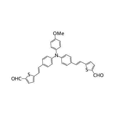 COc1ccc(N(c2ccc(/C=C/c3ccc(C=O)s3)cc2)c2ccc(/C=C/c3ccc(C=O)s3)cc2)cc1